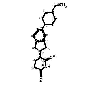 CCC1CCC(c2ccc3c(c2)CN(C2CCC(=O)NC2=O)C3)CC1